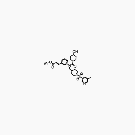 Cc1cncc(S(=O)(=O)N2CCC(CN(C(=O)C3CCC(O)CC3)c3cccc(/C=C/C(=O)OC(C)C)c3)CC2)c1